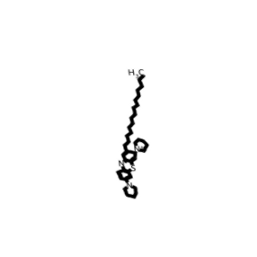 CCCCCCCCCCCCCCCCCc1cc2nc3ccc(N4CCCCC4)cc3sc-2cc1=[N+]1CCCCC1